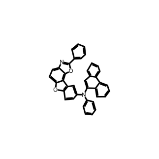 c1ccc(-c2nc3ccc4oc5ccc(N(c6ccccc6)c6cc7ccccc7c7ccccc67)cc5c4c3o2)cc1